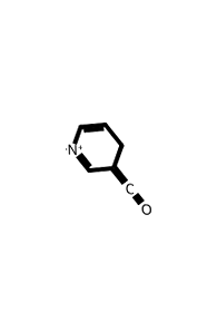 O=C=C1C=[N+]C=CC1